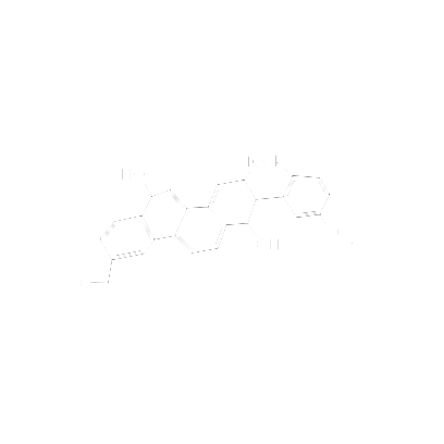 [O]Cc1ccc2c(c1)-c1ccc3c(c1=CC2O)=CC(O)C(c1cc(C(=O)O)ccc1Cl)C3O